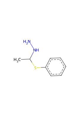 CC(NN)Sc1ccccc1